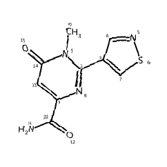 Cn1c(-c2cnsc2)nc(C(N)=O)cc1=O